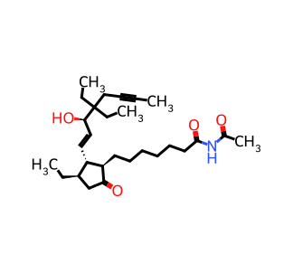 CC#CCC(CC)(CC)[C@H](O)C=C[C@H]1[C@H](CC)CC(=O)[C@@H]1CCCCCCC(=O)NC(C)=O